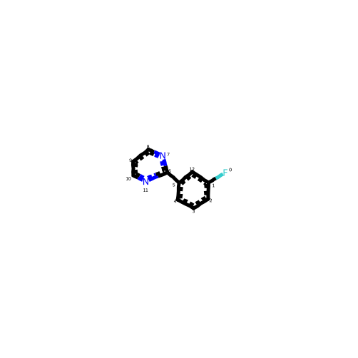 Fc1cccc(-c2nc[c]cn2)c1